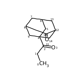 CCC(=O)C12CC3CC(C1)C(=O)C(C3)C2